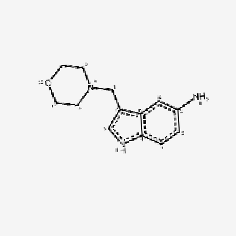 Nc1ccc2[nH]cc(CN3CCOCC3)c2c1